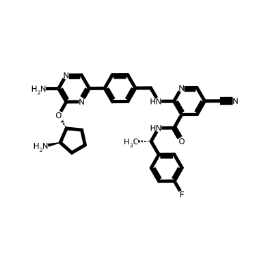 C[C@H](NC(=O)c1cc(C#N)cnc1NCc1ccc(-c2cnc(N)c(O[C@@H]3CCC[C@H]3N)n2)cc1)c1ccc(F)cc1